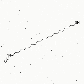 O=C=NCCCCCCCCCCCCCCCCCCCCCCCS